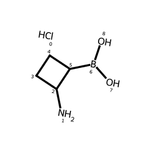 Cl.NC1CCC1B(O)O